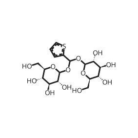 OC[C@H]1OC(OC(OC2O[C@H](CO)[C@@H](O)[C@H](O)[C@H]2O)c2cccs2)[C@H](O)[C@@H](O)[C@@H]1O